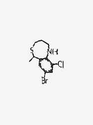 CC1SCCCNc2c(Cl)cc(Br)cc21